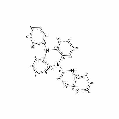 c1ccc(N2c3ccccc3B(c3ccc4ccccc4n3)c3ccccc32)cc1